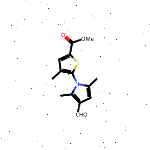 COC(=O)c1cc(C)c(-n2c(C)cc(C=O)c2C)s1